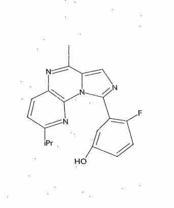 Cc1nc2ccc(C(C)C)nc2n2c(-c3cc(O)ccc3F)ncc12